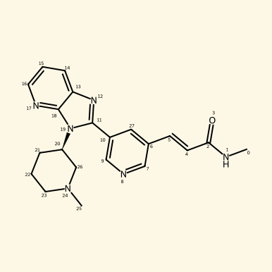 CNC(=O)/C=C/c1cncc(-c2nc3cccnc3n2[C@@H]2CCCN(C)C2)c1